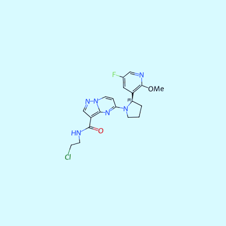 COc1ncc(F)cc1[C@H]1CCCN1c1ccn2ncc(C(=O)NCCCl)c2n1